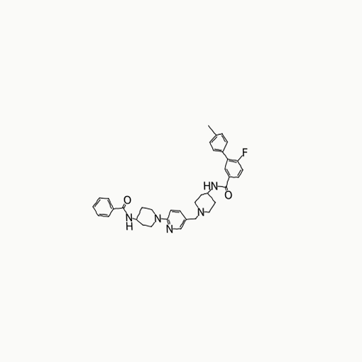 Cc1ccc(-c2cc(C(=O)NC3CCN(Cc4ccc(N5CCC(NC(=O)c6ccccc6)CC5)nc4)CC3)ccc2F)cc1